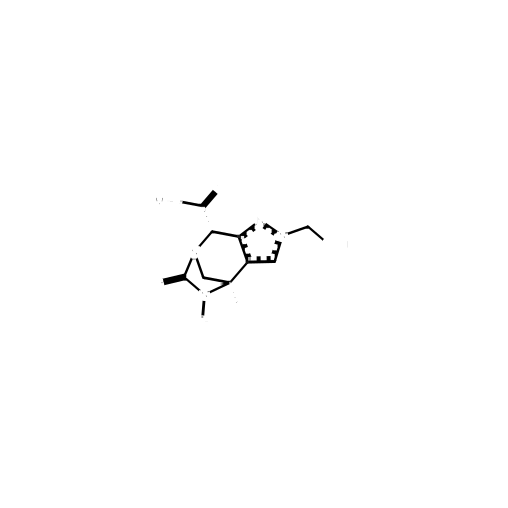 COC(=O)[C@@H]1c2nn(CC(=O)O)cc2[C@@H]2CN1C(=O)N2O